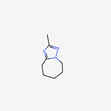 Cc1nc2n(n1)CCCCC2